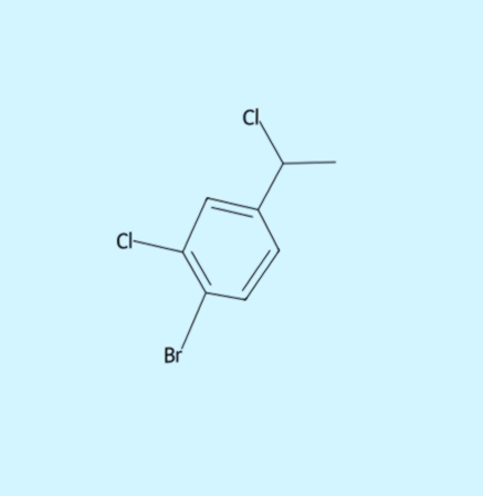 CC(Cl)c1ccc(Br)c(Cl)c1